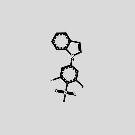 CS(=O)(=O)c1c(F)cc([SH]2C=Cc3ccccc32)cc1F